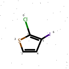 Clc1sccc1I